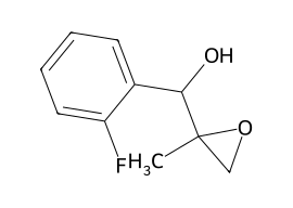 CC1(C(O)c2ccccc2F)CO1